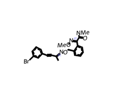 CNC(=O)/C(=N/OC)c1ccccc1CO/N=C(\C)C#Cc1cccc(Br)c1